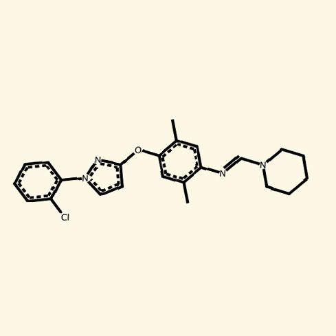 Cc1cc(Oc2ccn(-c3ccccc3Cl)n2)c(C)cc1/N=C/N1CCCCC1